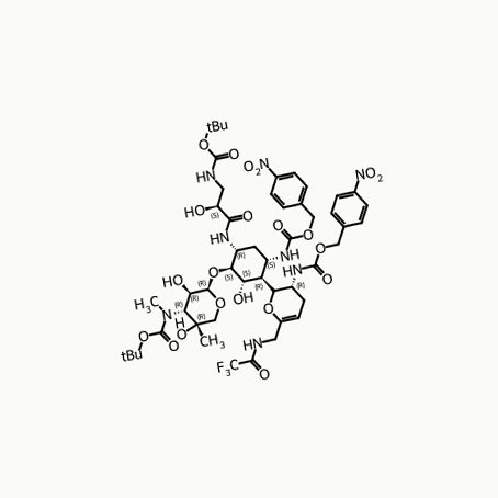 CN(C(=O)OC(C)(C)C)[C@@H]1[C@@H](O)[C@@H](O[C@@H]2[C@@H](O)[C@H](C3OC(CNC(=O)C(F)(F)F)=CC[C@H]3NC(=O)OCc3ccc([N+](=O)[O-])cc3)[C@@H](NC(=O)OCc3ccc([N+](=O)[O-])cc3)C[C@H]2NC(=O)[C@@H](O)CNC(=O)OC(C)(C)C)OC[C@]1(C)O